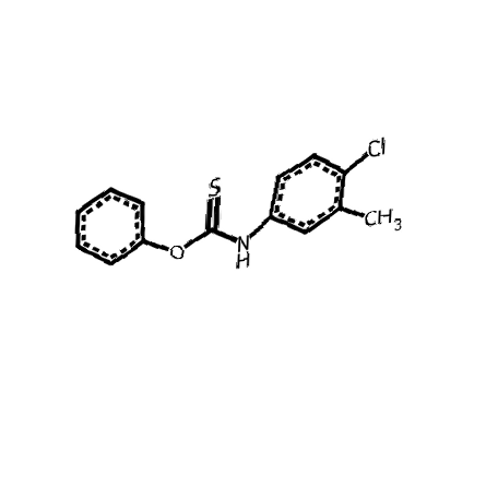 Cc1cc(NC(=S)Oc2ccccc2)ccc1Cl